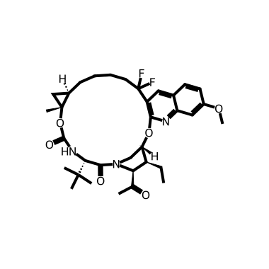 CC[C@@H]1[C@@H]2CN(C(=O)[C@H](C(C)(C)C)NC(=O)O[C@]3(C)C[C@H]3CCCCC(F)(F)c3cc4ccc(OC)cc4nc3O2)[C@@H]1C(C)=O